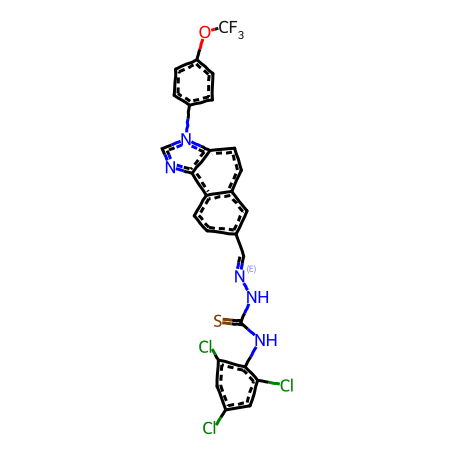 FC(F)(F)Oc1ccc(-n2cnc3c4ccc(/C=N/NC(=S)Nc5c(Cl)cc(Cl)cc5Cl)cc4ccc32)cc1